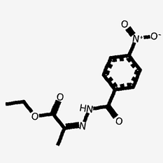 CCOC(=O)C(C)=NNC(=O)c1ccc([N+](=O)[O-])cc1